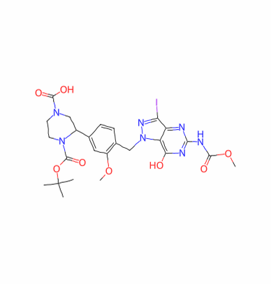 COC(=O)Nc1nc(O)c2c(n1)c(I)nn2Cc1ccc(C2CN(C(=O)O)CCN2C(=O)OC(C)(C)C)cc1OC